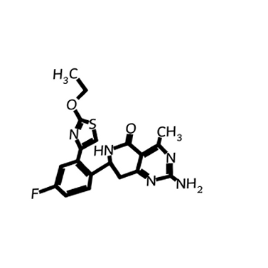 CCOc1nc(-c2cc(F)ccc2C2Cc3nc(N)nc(C)c3C(=O)N2)cs1